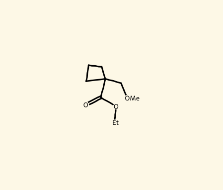 CCOC(=O)C1(COC)CCC1